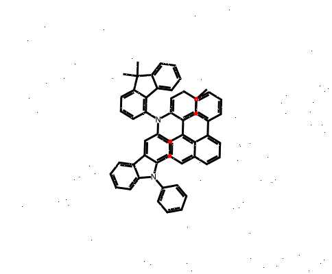 CC1C=C(c2cccc3cccc(-c4ccccc4)c23)C(N(c2ccc3c(c2)c2ccccc2n3-c2ccccc2)c2cccc3c2-c2ccccc2C3(C)C)=CC1